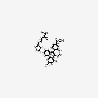 CN(C)C(=O)/C=C/CN1CC[C@H](Oc2ccc(C3=C(c4ccc(Cl)cc4F)CCCc4cc(C(=O)O)ccc43)cc2)C1